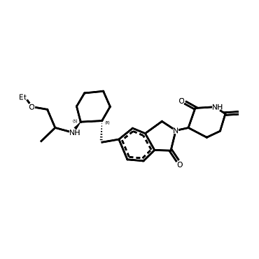 C=C1CCC(N2Cc3cc(C[C@H]4CCCC[C@@H]4NC(C)COCC)ccc3C2=O)C(=O)N1